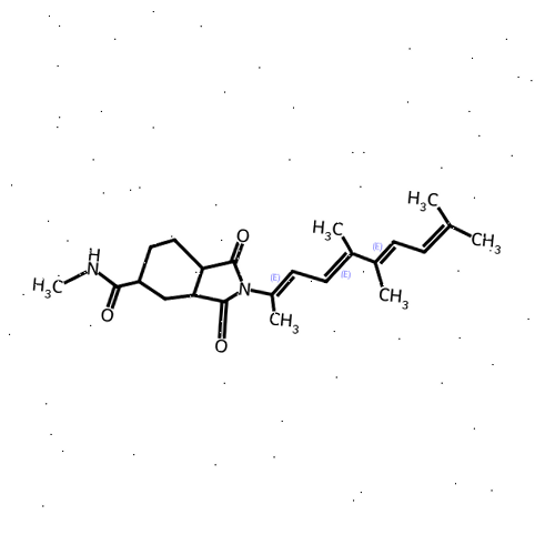 CNC(=O)C1CCC2C(=O)N(/C(C)=C/C=C(C)/C(C)=C/C=C(C)C)C(=O)C2C1